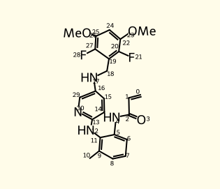 C=CC(=O)Nc1cccc(C)c1Nc1ccc(NCc2c(F)c(OC)cc(OC)c2F)cn1